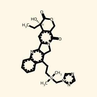 CC[C@@]1(O)C(=O)OCc2c1cc1n(c2=O)Cc2c-1nc1ccccc1c2CC[Si](C)(C)Cn1cncn1